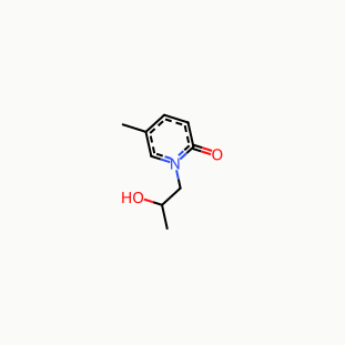 Cc1ccc(=O)n(CC(C)O)c1